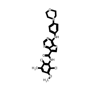 COc1cc(C)c(Cl)c(NC(=O)c2csc3c(Nc4ccc(N5CCOCC5)cc4)ncnc23)c1Cl